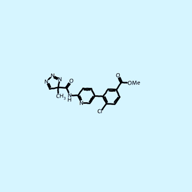 COC(=O)c1ccc(Cl)c(-c2ccc(NC(=O)C3(C)C=NN=N3)nc2)c1